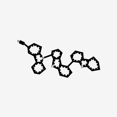 N#Cc1ccc2c(c1)c1ccccc1n2-c1cccc2c1oc1cccc(-c3cccc4c3oc3ccccc34)c12